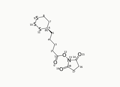 O=C(CCCC[C@@H]1CCSSS1)ON1C(=O)CCC1=O